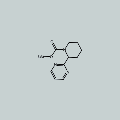 CC(C)(C)OC(=O)N1CCCCC1c1ncccn1